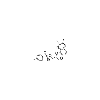 Cc1ccc(S(=O)(=O)OCC2COc3ccc4nc(C)c(C)nc4c3O2)cc1